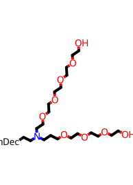 CCCCCCCCCCCCN(CCCOCCOCCOCCO)CCOCCOCCOCCOCCO